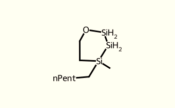 CCCCCC[Si]1(C)CCO[SiH2][SiH2]1